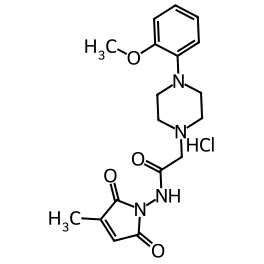 COc1ccccc1N1CCN(CC(=O)NN2C(=O)C=C(C)C2=O)CC1.Cl